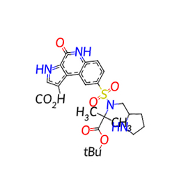 CC(C)(C)OC(=O)C(C)(C)N(CC1CCCN1)S(=O)(=O)c1ccc2[nH]c(=O)c3[nH]cc(C(=O)O)c3c2c1